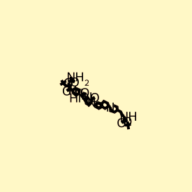 CC(C)(C)CC(C)(OC(N)=O)C(=O)N1CCN(C(=O)Nc2ccn(-c3ccc4c(c3)CCC(N3CCC(CCNC(=O)OC(C)(C)C)CC3)C4)c(=O)n2)CC1